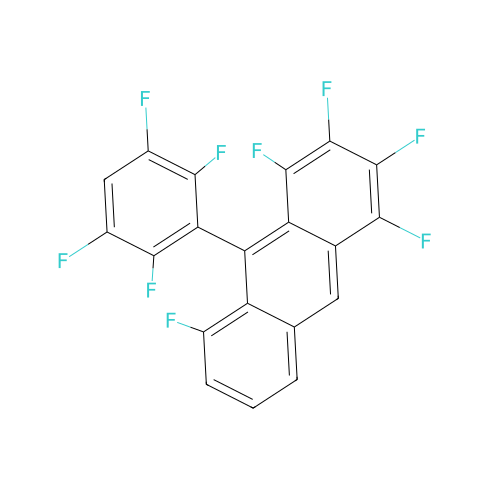 Fc1cc(F)c(F)c(-c2c3c(F)cccc3cc3c(F)c(F)c(F)c(F)c23)c1F